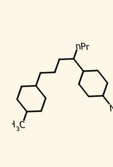 CCCC(CCCC1CCC(C)CC1)C1CCC(N)CC1